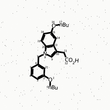 CCCCOc1cccc(Cn2cc(CC(=O)O)c3cc(OCCCC)ccc32)c1